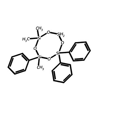 C[Si]1(C)O[SiH2]O[Si](c2ccccc2)(c2ccccc2)O[Si](C)(c2ccccc2)O1